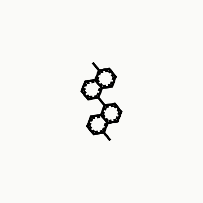 Cc1cccc2c(-c3cccc4c(C)cccc34)cccc12